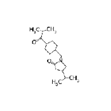 CC(C)C(=O)C1CCC(CN2CC(C(C)C)CC2=O)CC1